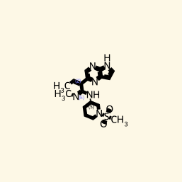 C/C=C(\C(=N/C)N[C@H]1CCCN(S(C)(=O)=O)C1)c1cnc2[nH]ccc2n1